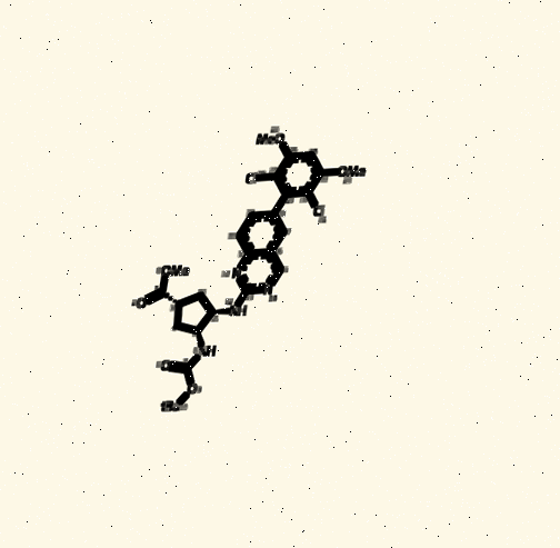 COC(=O)[C@H]1C[C@H](NC(=O)OC(C)(C)C)[C@H](Nc2ncc3cc(-c4c(Cl)c(OC)cc(OC)c4Cl)ccc3n2)C1